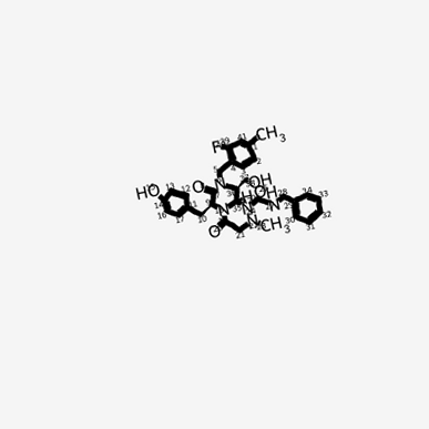 Cc1ccc(CN2C(=O)[C@H](Cc3ccc(O)cc3)N3C(=O)CN(C)N(C(=O)NCc4ccccc4)[C@H]3[C@@H]2CO)c(F)c1